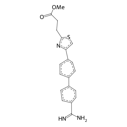 COC(=O)CCc1nc(-c2ccc(-c3ccc(C(=N)N)cc3)cc2)cs1